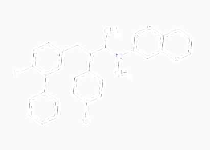 CC(C(Cc1ccc(F)c(-c2ccccc2)c1)c1ccc(Cl)cc1)N(C)c1ccc2ccccc2c1